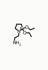 CCO[Si]1(OCC)CCCN1CCN